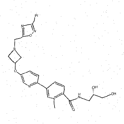 Cc1cc(-c2ccc(OC3CN(Cc4nc(C(C)C)no4)C3)cn2)ccc1C(=O)NC[C@H](O)CO